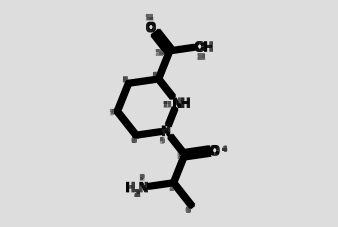 CC(N)C(=O)N1CCCC(C(=O)O)N1